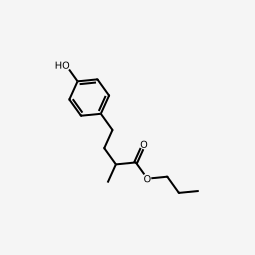 CCCOC(=O)C(C)CCc1ccc(O)cc1